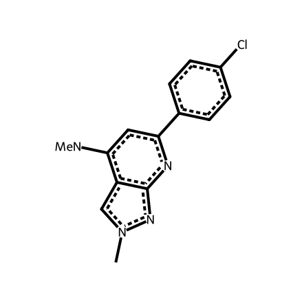 CNc1cc(-c2ccc(Cl)cc2)nc2nn(C)cc12